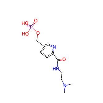 CN(C)CCNC(=O)c1ccc(CO[32P](=O)(O)O)cn1